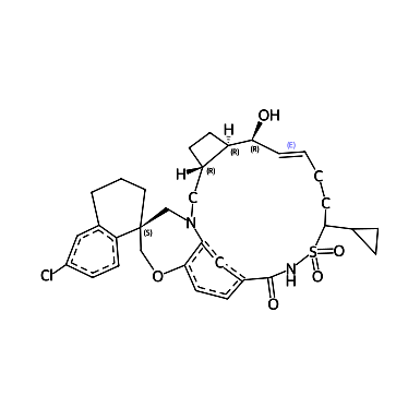 O=C1NS(=O)(=O)C(C2CC2)CC/C=C/[C@H](O)[C@@H]2CC[C@H]2CN2C[C@@]3(CCCc4cc(Cl)ccc43)COc3ccc1cc32